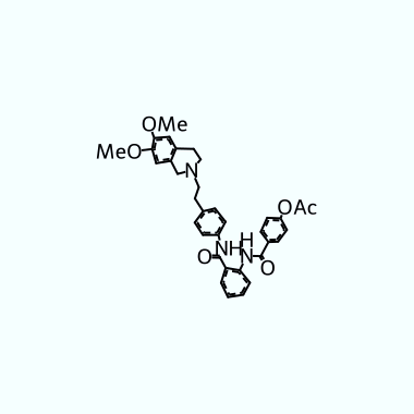 COc1cc2c(cc1OC)CN(CCc1ccc(NC(=O)c3ccccc3NC(=O)c3ccc(OC(C)=O)cc3)cc1)CC2